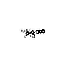 Cc1nc(N2CCC3(CC2)Cc2ccccc2C3)c(CO)nc1-c1cc(N)nc(Cl)c1Cl